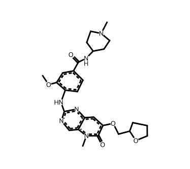 COc1cc(C(=O)NC2CCN(C)CC2)ccc1Nc1ncc2c(cc(OCC3CCCO3)c(=O)n2C)n1